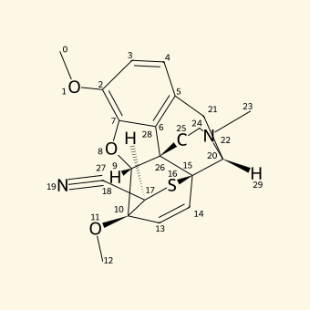 COc1ccc2c3c1O[C@H]1[C@@]4(OC)C=C[C@@]5(S[C@@H]4C#N)[C@@H](C2)N(C)CC[C@]315